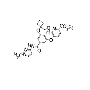 CCOC(=O)c1ccc(Oc2cc(OC3(CO)CCC3)cc(C(=O)Nc3ccn(C)n3)c2)cn1